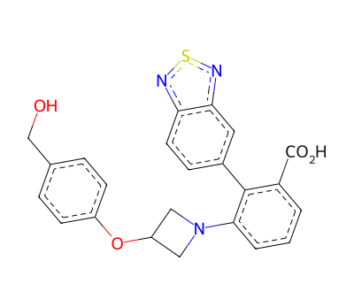 O=C(O)c1cccc(N2CC(Oc3ccc(CO)cc3)C2)c1-c1ccc2nsnc2c1